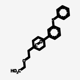 O=C(O)COCCC12CCC(c3cccc(Sc4ccccc4)c3)(CC1)OC2